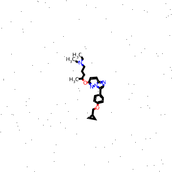 CCN(CC)CCCC(C)Oc1ccc2ncc(-c3ccc(OCC4CC4)cc3)n2n1